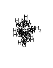 CC[n+]1cn([C@@H]2O[C@H](COP(=O)(O)OP(=O)(O)OP(=O)(O)OC[C@H]3O[C@@H](n4cnc5c(N)ncnc54)[C@H](OC)[C@@H]3P(=O)([O-])OC[C@H]3O[C@@H](n4ccc(=O)[nH]c4=O)[C@H](O)[C@@H]3O)[C@@H](CCOC)[C@H]2O)c2nc(N)[nH]c(=O)c21